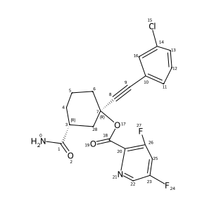 NC(=O)[C@@H]1CCC[C@@](C#Cc2cccc(Cl)c2)(OC(=O)c2ncc(F)cc2F)C1